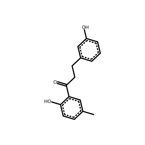 Cc1ccc(O)c(C(=O)CCc2cccc(O)c2)c1